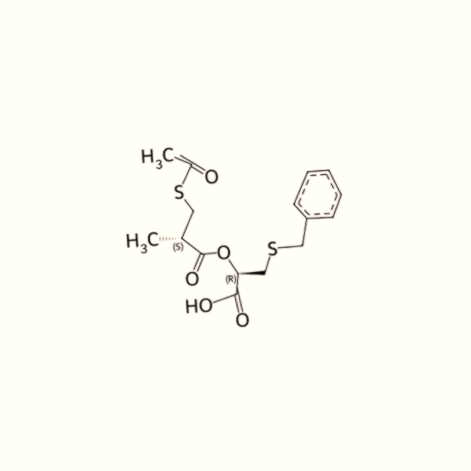 CC(=O)SC[C@@H](C)C(=O)O[C@@H](CSCc1ccccc1)C(=O)O